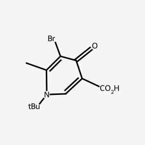 Cc1c(Br)c(=O)c(C(=O)O)cn1C(C)(C)C